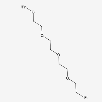 CC(C)CCOCCOCCOCCOC(C)C